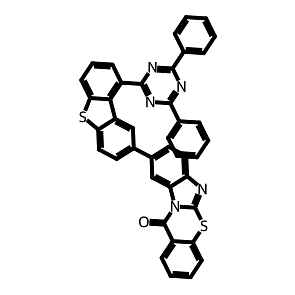 O=c1c2ccccc2sc2nc3ccc(-c4ccc5sc6cccc(-c7nc(-c8ccccc8)nc(-c8ccccc8)n7)c6c5c4)cc3n12